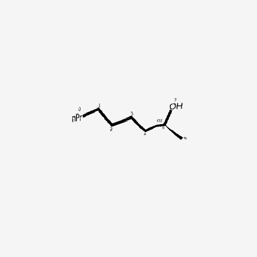 CCCCCCC[C@H](C)O